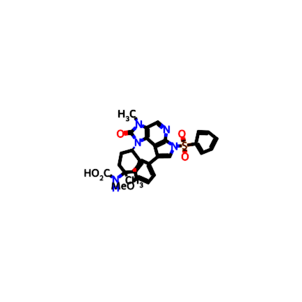 COc1ccc(-c2cn(S(=O)(=O)c3ccccc3)c3ncc4c(c23)n([C@H]2CC[C@@](C)(NC(=O)O)CC2)c(=O)n4C)cc1